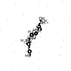 Cc1c(Nc2nccc3cc(CN[C@H](C)CO)cnc23)cccc1-c1cccc(NC(=O)c2nc3c(n2C)CCN(CC[C@H]2CC[C@H](CO)CC2)C3)c1Cl